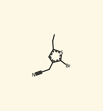 CCc1cc(CC#N)c(Br)s1